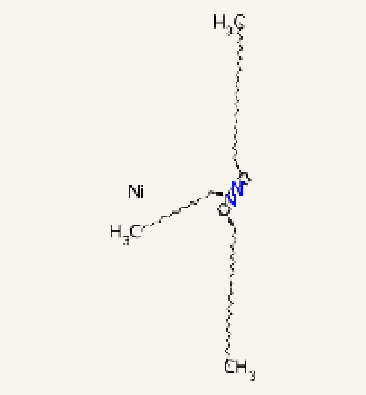 CCCCCCCCCCCCCCCCCC#CC(C=Nc1cccc(C#CCCCCCCCCCCCCCCCCCCCCCCCCCCC)c1)=Nc1cccc(C#CCCCCCCCCCCCCCCCCCCCCCCCCCCC)c1.[Ni]